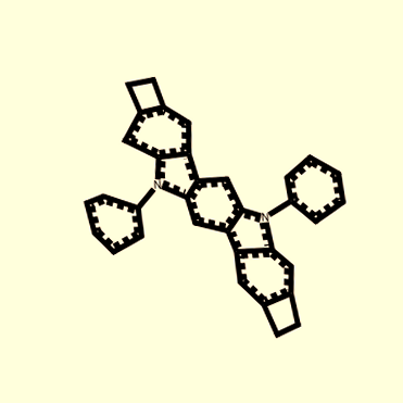 c1ccc(-n2c3cc4c(cc3c3cc5c(cc32)c2cc3c(cc2n5-c2ccccc2)CC3)CC4)cc1